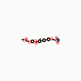 C=COC(=O)CCOc1ccc(OC(=O)c2ccc(-c3ccc(-c4ccc(OCCCN5C(=O)C=CC5=O)cc4)cc3)c(C)c2)cc1